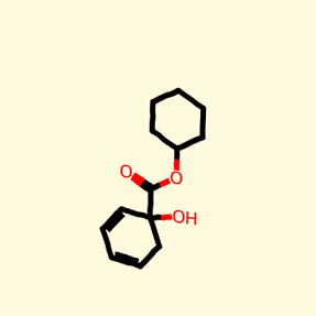 O=C(OC1CCCCC1)C1(O)C=CC=CC1